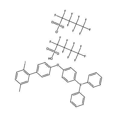 Cc1ccc(I)c(-c2ccc(Oc3ccc([S+](c4ccccc4)c4ccccc4)cc3)cc2)c1.O=S(=O)(O)C(F)(F)C(F)(F)C(F)(F)C(F)(F)F.O=S(=O)([O-])C(F)(F)C(F)(F)C(F)(F)C(F)(F)F